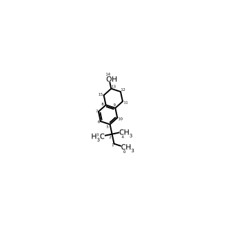 CCC(C)(C)c1ccc2c(c1)CCC(O)C2